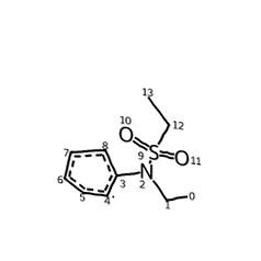 CCN(c1[c]cccc1)S(=O)(=O)CC